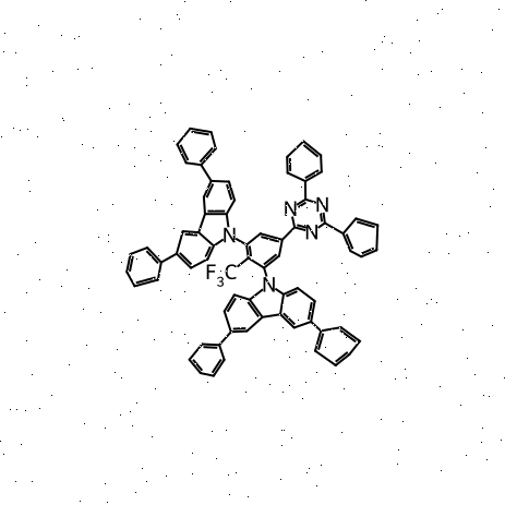 FC(F)(F)c1c(-n2c3ccc(-c4ccccc4)cc3c3cc(-c4ccccc4)ccc32)cc(-c2nc(-c3ccccc3)nc(-c3ccccc3)n2)cc1-n1c2ccc(-c3ccccc3)cc2c2cc(-c3ccccc3)ccc21